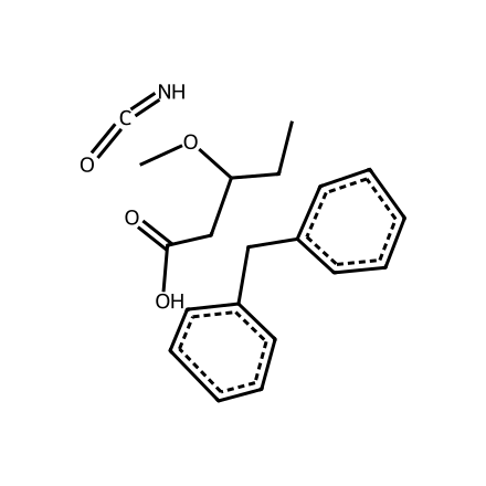 CCC(CC(=O)O)OC.N=C=O.c1ccc(Cc2ccccc2)cc1